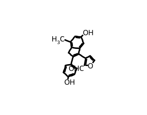 Cc1cc(O)cc2c1CC(c1ccc(O)cc1)=C2c1ccoc1C=O